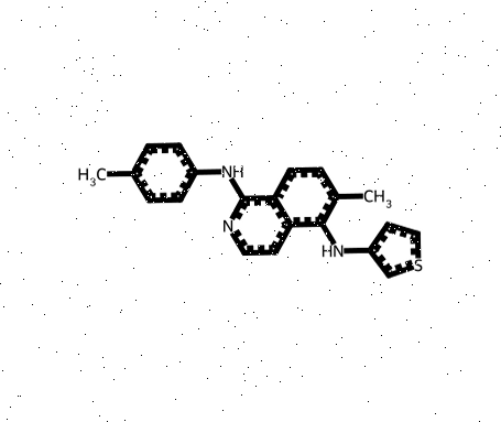 Cc1ccc(Nc2nccc3c(Nc4ccsc4)c(C)ccc23)cc1